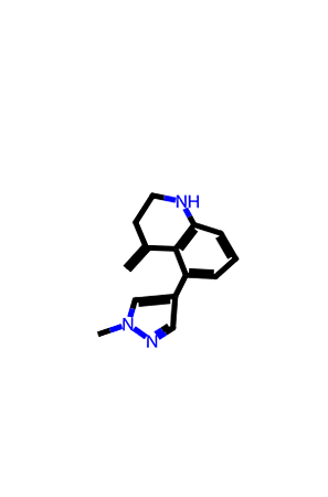 C=C1CCNc2cccc(-c3cnn(C)c3)c21